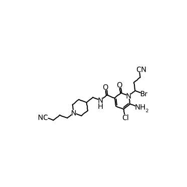 N#CCCCN1CCC(CNC(=O)c2cc(Cl)c(N)n(C(Br)CCC#N)c2=O)CC1